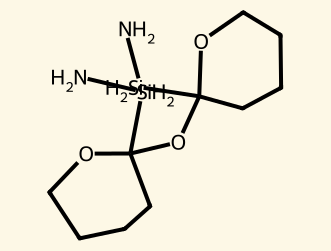 N[SiH2]C1(OC2([SiH2]N)CCCCO2)CCCCO1